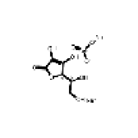 O=C1O[C@H]([C@@H](O)CO)C(O)=C1O.O=[Se]([O-])[O-].[Na+].[Na+]